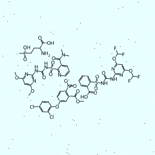 COC(=O)c1cc(Oc2ccc(Cl)cc2Cl)ccc1[N+](=O)[O-].COc1cc(OC)nc(NC(=O)NS(=O)(=O)c2ncccc2C(=O)N(C)C)n1.CP(=O)(O)CCC(N)C(=O)O.O=C(Nc1nc(OC(F)F)cc(OC(F)F)n1)NS(=O)(=O)c1ccccc1C(=O)O